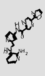 Nc1ncccc1NCc1cc(NC(=O)c2cnc(-c3ncco3)cn2)ccn1